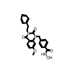 COc1ccc2c(=O)n(CCc3ccccc3)c(=O)n(Cc3ccc(C(=O)NO)cc3)c2c1